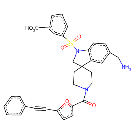 NCc1ccc2c(c1)C1(CCN(C(=O)c3ccc(C#Cc4ccccc4)o3)CC1)CN2S(=O)(=O)c1cccc(C(=O)O)c1